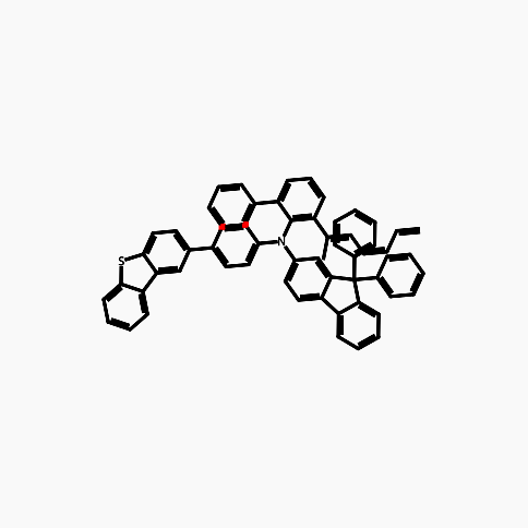 C=C/C=C\C=C(/C)c1cccc(-c2ccccc2)c1N(c1ccc(-c2ccc3sc4ccccc4c3c2)cc1)c1ccc2c(c1)C(c1ccccc1)(c1ccccc1)c1ccccc1-2